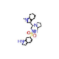 CC1CCCN1C(CNS(=O)(=O)c1ccc2cc[nH]c2c1)c1cn(C)c2ccccc12